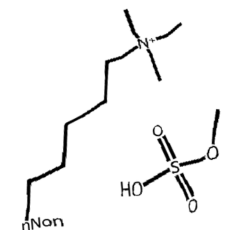 CCCCCCCCCCCCCC[N+](C)(C)C.COS(=O)(=O)O